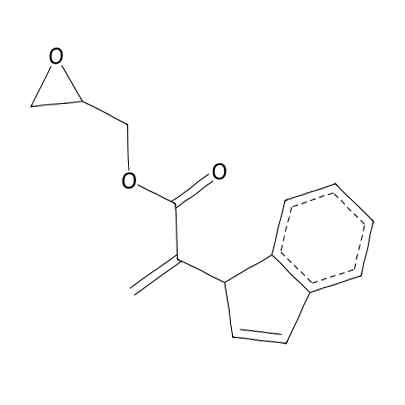 C=C(C(=O)OCC1CO1)C1C=Cc2ccccc21